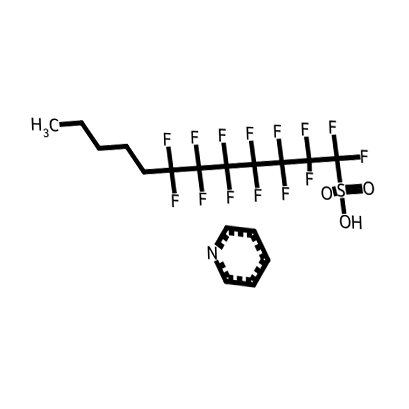 CCCCCC(F)(F)C(F)(F)C(F)(F)C(F)(F)C(F)(F)C(F)(F)C(F)(F)S(=O)(=O)O.c1ccncc1